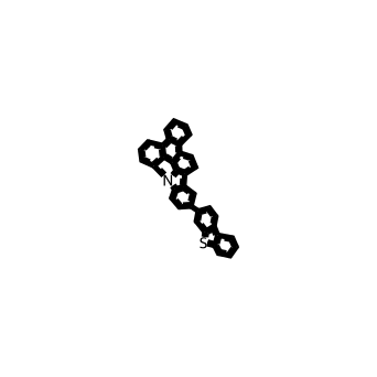 c1ccc2c(c1)sc1cc(-c3ccc4c(c3)c3ccc5c6ccccc6c6cccc7c6c5c3n47)ccc12